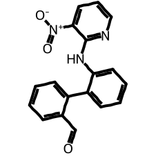 O=Cc1ccccc1-c1ccccc1Nc1ncccc1[N+](=O)[O-]